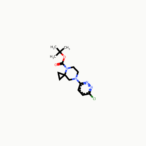 CC(C)(C)OC(=O)N1CCN(c2ccc(Cl)nn2)CC12CC2